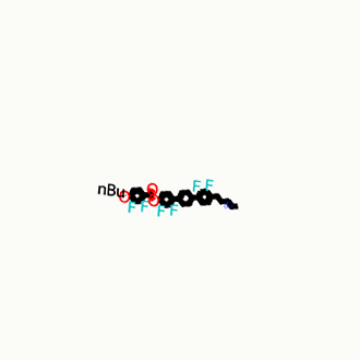 C/C=C/CCc1ccc(C2CC=C(c3ccc(OC(=O)c4ccc(OCCCC)c(F)c4F)c(F)c3F)CC2)c(F)c1F